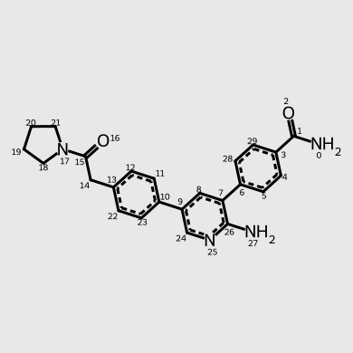 NC(=O)c1ccc(-c2cc(-c3ccc(CC(=O)N4CCCC4)cc3)cnc2N)cc1